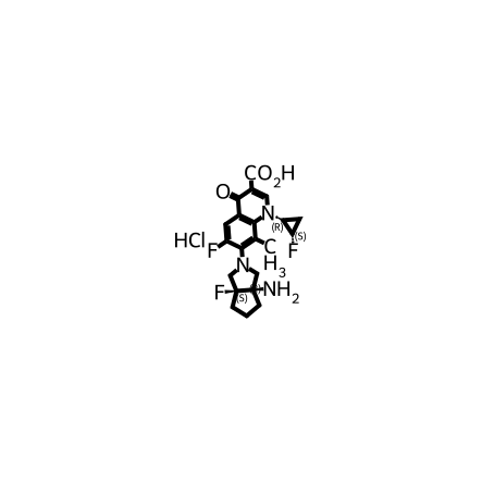 Cc1c(N2C[C@]3(N)CCC[C@]3(F)C2)c(F)cc2c(=O)c(C(=O)O)cn([C@@H]3C[C@@H]3F)c12.Cl